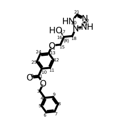 O=C(OCc1ccccc1)c1ccc(OC[C@H](O)CN2NC=NN2)cc1